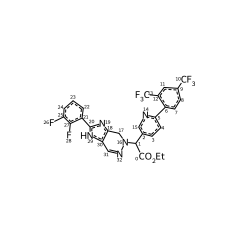 CCOC(=O)C(c1ccc(-c2ccc(C(F)(F)F)cc2C(F)(F)F)nc1)N1Cc2nc(-c3cccc(F)c3F)[nH]c2C=N1